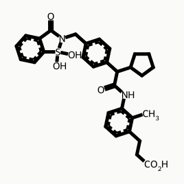 Cc1c(CCC(=O)O)cccc1NC(=O)C(c1ccc(CN2C(=O)c3ccccc3S2(O)O)cc1)C1CCCC1